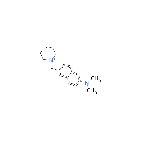 CN(C)c1ccc2cc(C=[N+]3CCCCC3)ccc2c1